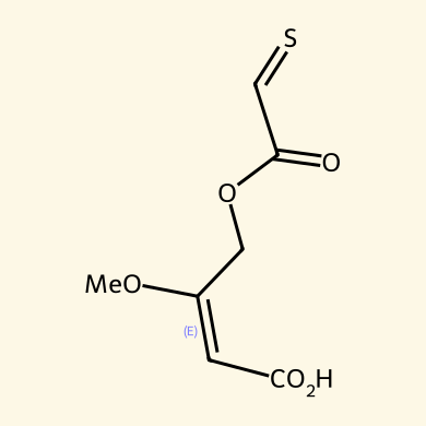 CO/C(=C/C(=O)O)COC(=O)C=S